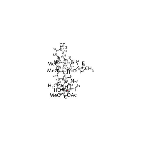 CC[C@]12C=CCN3CC[C@@]4(c5cc([C@@]6(C(=O)OC)C[C@H]7CC(C(C)(F)F)CN(Cc8c6[nH]c6ccc(C(F)(F)F)cc86)C7)c(OC)cc5N(C)[C@H]4[C@@](O)(C(=O)OC)[C@@H]1OC(C)=O)[C@@H]32